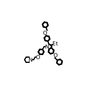 CCc1c(-c2ccc(OCc3ccccc3)cc2)n(Cc2ccc(OCCN3CCCCC3)cc2)c2ccc(OCc3ccccc3)cc12